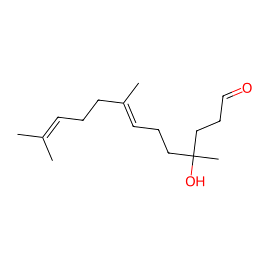 CC(C)=CCCC(C)=CCCC(C)(O)CCC=O